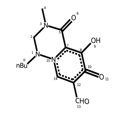 CCCCN1CN(C)C(=O)c2c(O)c(=O)c(C=O)cn21